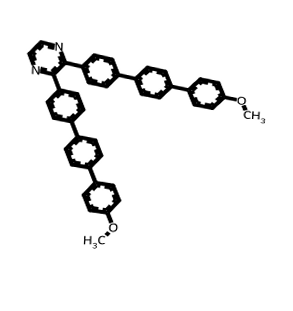 COc1ccc(-c2ccc(-c3ccc(-c4nccnc4-c4ccc(-c5ccc(-c6ccc(OC)cc6)cc5)cc4)cc3)cc2)cc1